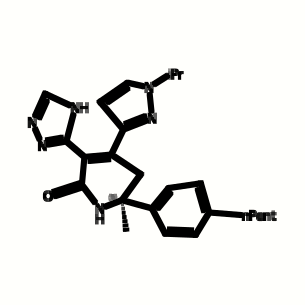 CCCCCc1ccc([C@]2(C)CC(c3ccn(C(C)C)n3)=C(c3nnc[nH]3)C(=O)N2)cc1